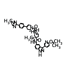 [2H]C([2H])(C(=O)N1CC=C(c2ccc(-c3ncn(C)n3)cc2)CC1)N1CC[C@@](SC)(C(=O)Nc2ccc3[nH]nc(-c4ccc(OC(C)C)nc4)c3c2)C1